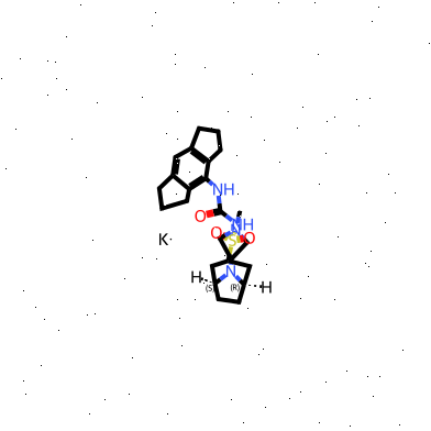 CN1CC(N2[C@@H]3CC[C@H]2CC(S(=O)(=O)NC(=O)Nc2c4c(cc5c2CCC5)CCC4)C3)C1.[K]